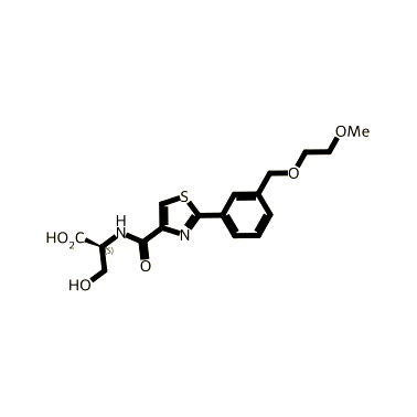 COCCOCc1cccc(-c2nc(C(=O)N[C@@H](CO)C(=O)O)cs2)c1